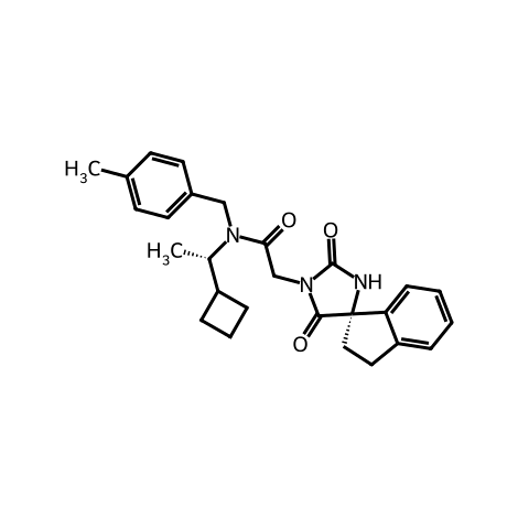 Cc1ccc(CN(C(=O)CN2C(=O)N[C@]3(CCc4ccccc43)C2=O)[C@@H](C)C2CCC2)cc1